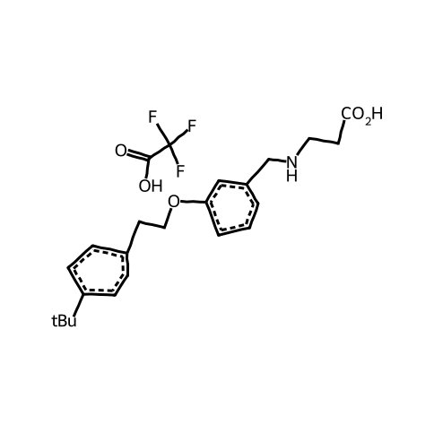 CC(C)(C)c1ccc(CCOc2cccc(CNCCC(=O)O)c2)cc1.O=C(O)C(F)(F)F